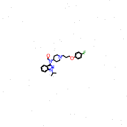 CC(C)n1nc(N(C=O)C2CCN(CCCOc3ccc(F)cc3)CC2)c2ccccc21